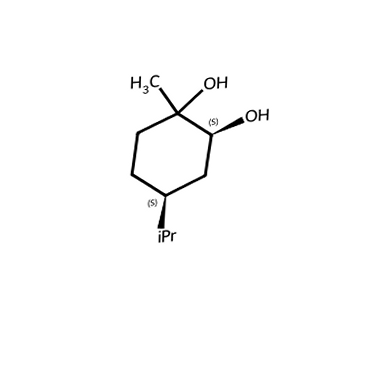 CC(C)[C@H]1CCC(C)(O)[C@@H](O)C1